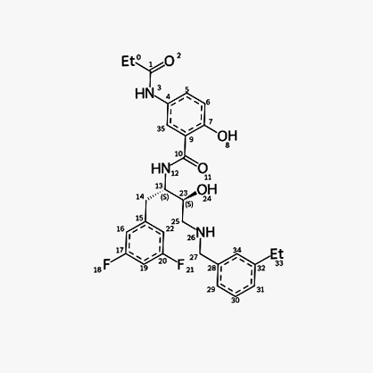 CCC(=O)Nc1ccc(O)c(C(=O)N[C@@H](Cc2cc(F)cc(F)c2)[C@@H](O)CNCc2cccc(CC)c2)c1